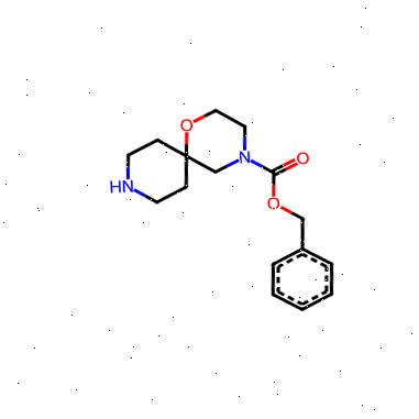 O=C(OCc1ccccc1)N1CCOC2(CCNCC2)C1